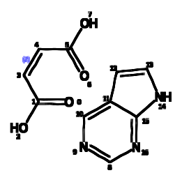 O=C(O)/C=C\C(=O)O.c1ncc2cc[nH]c2n1